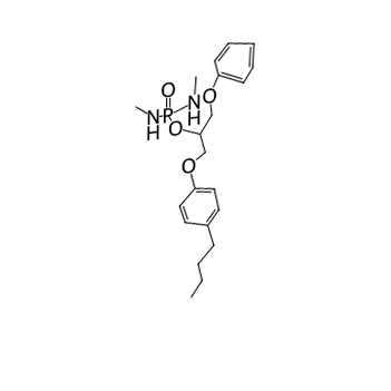 CCCCc1ccc(OCC(COc2ccccc2)OP(=O)(NC)NC)cc1